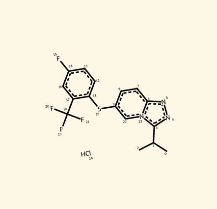 CC(C)c1nnc2ccc(Sc3ccc(F)cc3C(F)(F)F)cn12.Cl